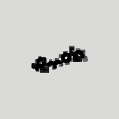 CC(/C=C/[C@H]1OCC[C@@]2(CO2)[C@@H]1O)=C\C[C@H]1CC[C@@H](NC(=O)/C=C\[C@H](C)O)CC1